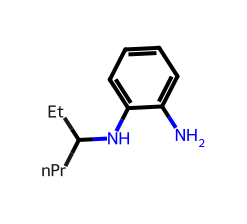 CCCC(CC)Nc1ccccc1N